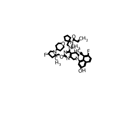 C#Cc1c(F)ccc2cc(O)cc(N3CCc4c(nc(OC[C@]5(C)C[C@@H](F)CN5C5CCOCC5)nc4NCC4(N(C)C(=O)C=C)CCCC4)C3)c12